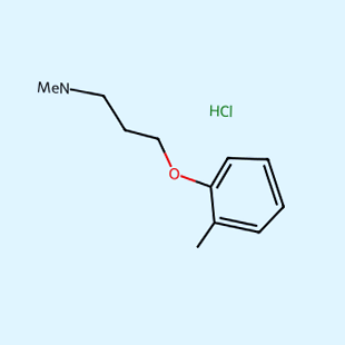 CNCCCOc1ccccc1C.Cl